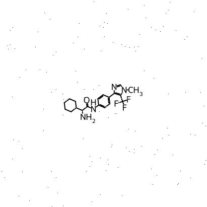 Cn1cnc(-c2ccc(NC(=O)[C@@H](N)C3CCCCC3)cc2)c1C(F)(F)F